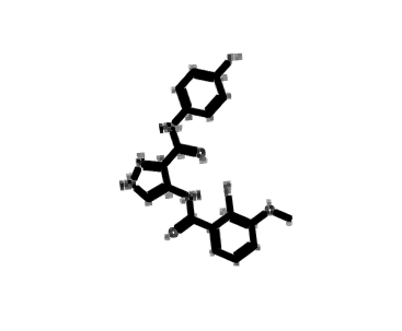 COc1cccc(C(=O)Nc2c[nH]nc2C(=O)Nc2ccc(F)cc2)c1F